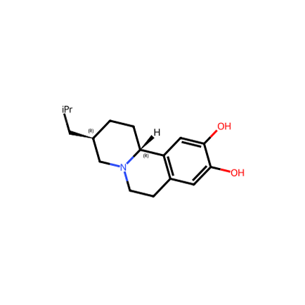 CC(C)C[C@H]1CC[C@@H]2c3cc(O)c(O)cc3CCN2C1